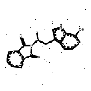 CC(Cc1c[nH]c2c(O)cccc12)N1C(=O)c2ccccc2C1=O